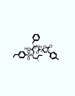 CCc1ccc(S(=O)(=O)N(C[C@@H](C)CC)C[C@@H](O)[C@H](Cc2ccccc2)NC(=O)[C@@H]2CN(c3ccc(C)cc3)C(=O)O2)cc1